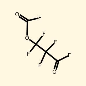 O=C(F)OC(F)(F)C(F)(F)C(=O)F